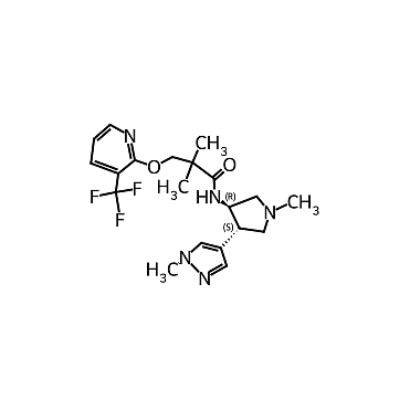 CN1C[C@H](NC(=O)C(C)(C)COc2ncccc2C(F)(F)F)[C@@H](c2cnn(C)c2)C1